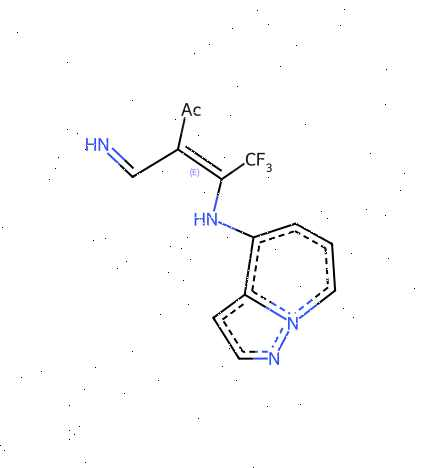 CC(=O)/C(C=N)=C(/Nc1cccn2nccc12)C(F)(F)F